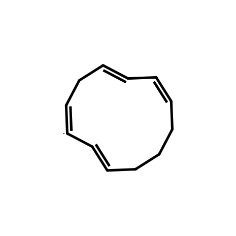 [C]1=C\C/C=C/C=C\CCC/C=C/1